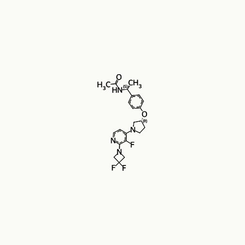 CC(=O)N[C@@H](C)c1ccc(O[C@@H]2CCN(c3ccnc(N4CC(F)(F)C4)c3F)C2)cc1